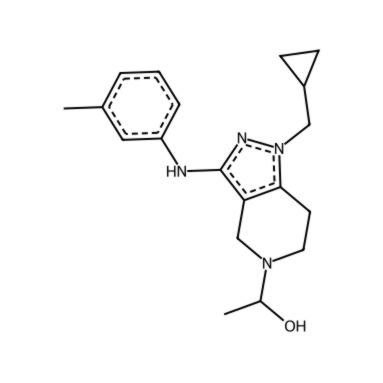 Cc1cccc(Nc2nn(CC3CC3)c3c2CN(C(C)O)CC3)c1